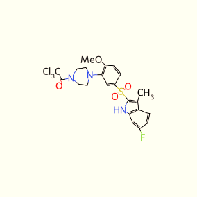 COc1ccc(S(=O)(=O)c2[nH]c3cc(F)ccc3c2C)cc1N1CCN(C(=O)C(Cl)(Cl)Cl)CC1